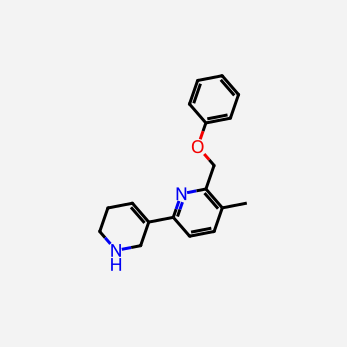 Cc1ccc(C2=CCCNC2)nc1COc1ccccc1